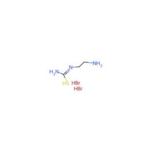 Br.Br.NCCN=C(N)S